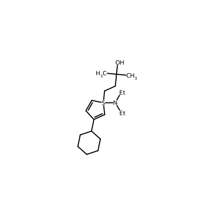 CCN(CC)S1(CCC(C)(C)O)C=CC(C2CCCCC2)=C1